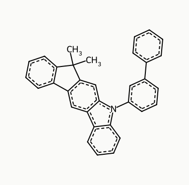 CC1(C)c2ccccc2-c2cc3c4ccccc4n(-c4cccc(-c5ccccc5)c4)c3cc21